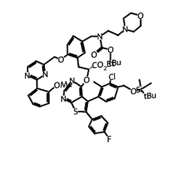 CCOC(=O)[C@@H](Cc1cc(CN(CCN2CCOCC2)C(=O)OC(C)(C)C)ccc1OCc1ccnc(-c2ccccc2OC)n1)Oc1ncnc2sc(-c3ccc(F)cc3)c(-c3ccc(CO[Si](C)(C)C(C)(C)C)c(Cl)c3C)c12